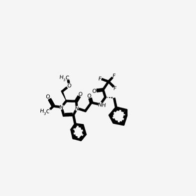 COC[C@H]1C(=O)N(CC(=O)N[C@@H](Cc2ccccc2)C(=O)C(F)(F)F)C(c2ccccc2)=CN1C(C)=O